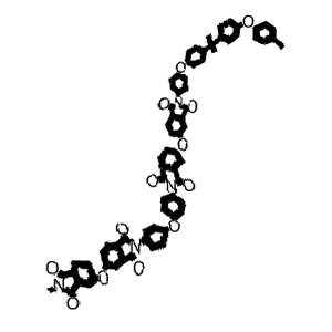 Cc1ccc(Oc2ccc(C(C)(C)c3ccc(Oc4ccc(N5C(=O)c6ccc(Oc7ccc8c(c7)C(=O)N(c7ccc(Oc9ccc(N%10C(=O)c%11ccc(Oc%12ccc%13c(c%12)C(=O)N(C)C%13=O)cc%11C%10=O)cc9)cc7)C8=O)cc6C5=O)cc4)cc3)cc2)cc1